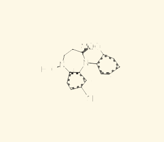 COc1ccccc1N1C(=O)CCN(C)c2ccc(Cl)cc21